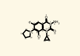 Nn1c(=O)c2cc(F)c(N3CCCC3)c(Cl)c2n(C2CC2)c1=O